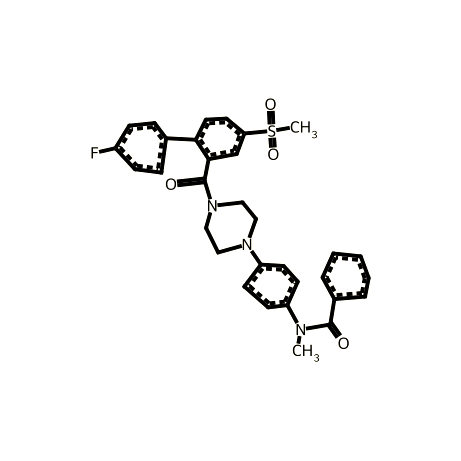 CN(C(=O)c1ccccc1)c1ccc(N2CCN(C(=O)c3cc(S(C)(=O)=O)ccc3-c3ccc(F)cc3)CC2)cc1